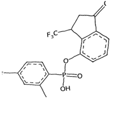 Cc1cc(Br)ccc1P(=O)(O)Oc1cccc2c1C(C(F)(F)F)CC2=O